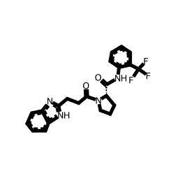 O=C(Nc1ccccc1C(F)(F)F)[C@@H]1CCCN1C(=O)CCc1nc2ccccc2[nH]1